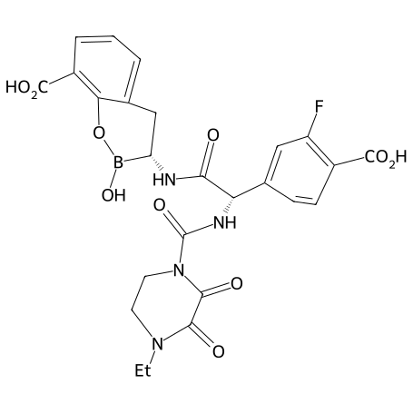 CCN1CCN(C(=O)N[C@H](C(=O)N[C@H]2Cc3cccc(C(=O)O)c3OB2O)c2ccc(C(=O)O)c(F)c2)C(=O)C1=O